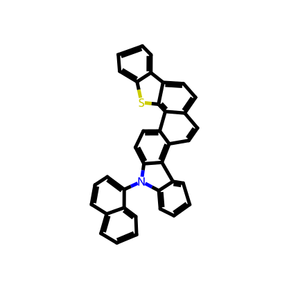 c1ccc2c(-n3c4ccccc4c4c5ccc6ccc7c8ccccc8sc7c6c5ccc43)cccc2c1